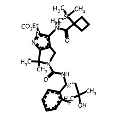 CCOC(=O)n1nc2c(c1NC(=O)C1([Si](C)(C)C)CCC1)CN(C(=O)N[C@H](CC(C)(C)O)c1ccccc1F)C2(C)C